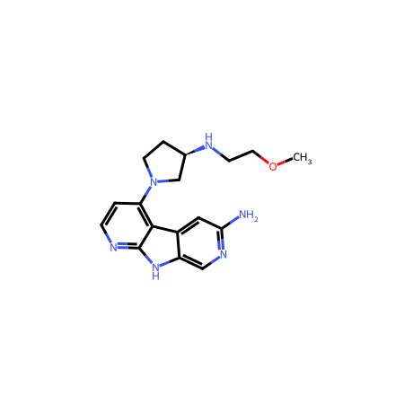 COCCN[C@@H]1CCN(c2ccnc3[nH]c4cnc(N)cc4c23)C1